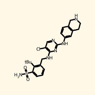 CC(C)(C)c1c(CNc2nc(Nc3ccc4c(c3)CCNC4)ncc2Cl)cccc1S(N)(=O)=O